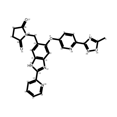 Cc1nc(-c2ccc(Oc3cc4nc(-c5ccccn5)[nH]c4cc3CN3C(=O)CCC3=O)cn2)no1